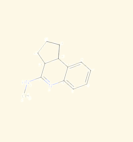 CNC1=Nc2ccccc2C2CCCC12